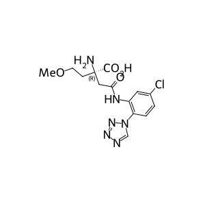 COCC[C@@](N)(CC(=O)Nc1cc(Cl)ccc1-n1cnnn1)C(=O)O